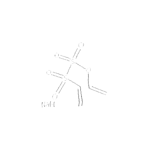 C=COS(=O)(=O)S(=O)(=O)C=C.[NaH]